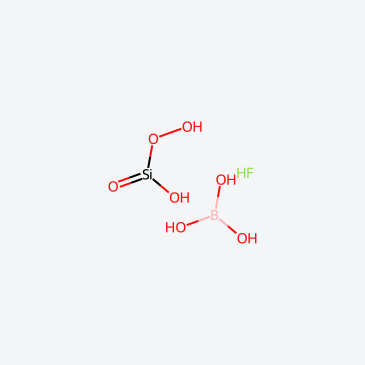 F.O=[Si](O)OO.OB(O)O